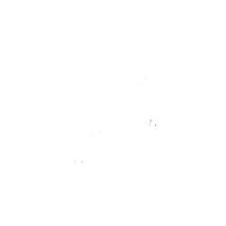 C=N/C=C(\SCc1ccc(OC(C)C)cc1)c1cccc2c1CCC2